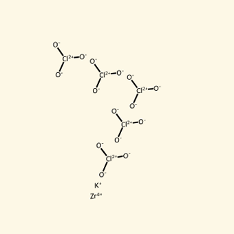 [K+].[O-][Cl+2]([O-])[O-].[O-][Cl+2]([O-])[O-].[O-][Cl+2]([O-])[O-].[O-][Cl+2]([O-])[O-].[O-][Cl+2]([O-])[O-].[Zr+4]